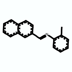 Cc1ccccc1/N=C/c1ccc2ccccc2c1